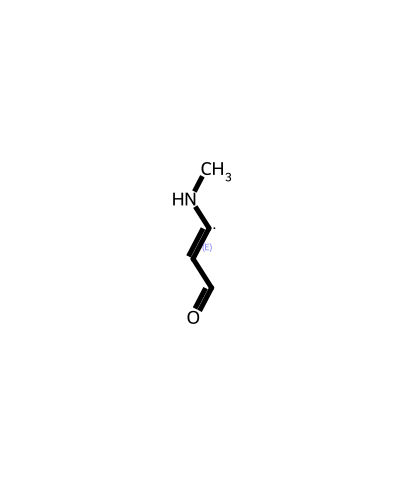 CN/[C]=C/C=O